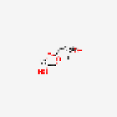 CCOCCOC.OCCOCCO